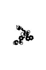 CC1(c2cccc3ccccc23)C(=O)N(CCCn2ccnc2)C(=O)N1Cc1cccc(C(=O)N2CCOCC2)c1